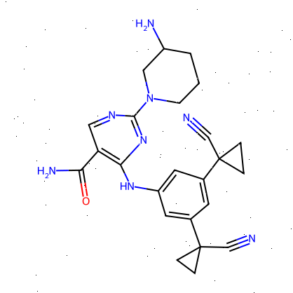 N#CC1(c2cc(Nc3nc(N4CCCC(N)C4)ncc3C(N)=O)cc(C3(C#N)CC3)c2)CC1